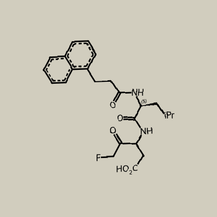 CC(C)C[C@H](NC(=O)CCc1cccc2ccccc12)C(=O)NC(CC(=O)O)C(=O)CF